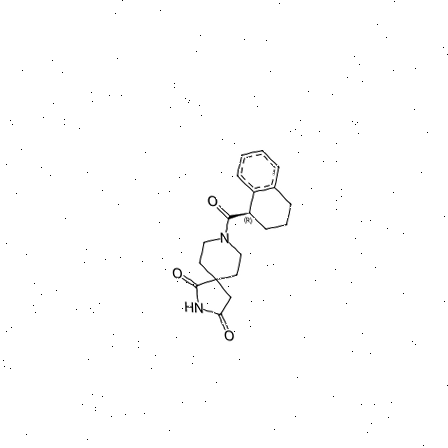 O=C1CC2(CCN(C(=O)[C@@H]3CCCc4ccccc43)CC2)C(=O)N1